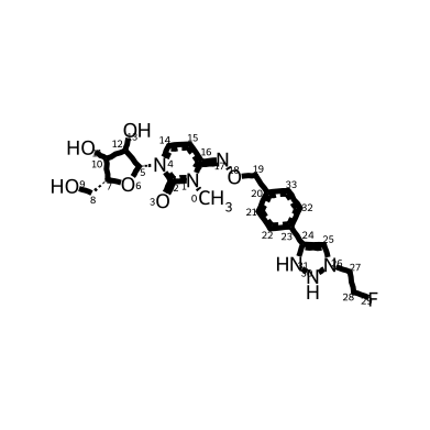 Cn1c(=O)n([C@@H]2O[C@H](CO)C(O)C2O)cc/c1=N/OCc1ccc(C2=CN(CCF)NN2)cc1